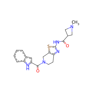 CN1CC(C(=O)Nc2nc3c(s2)CN(C(=O)c2cc4ccccc4[nH]2)CC3)C1